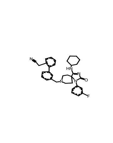 N#CCc1ccccc1-c1cccc(CN2CCC3(CC2)C(NC2CCCCC2)=NC(=O)N3c2cccc(F)c2)c1